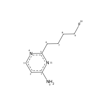 Nc1ccnc(CCCCF)n1